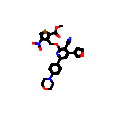 COC(=O)c1scc([N+](=O)[O-])c1COc1nc(-c2ccc(N3CCOCC3)cc2)cc(-c2ccoc2)c1C#N